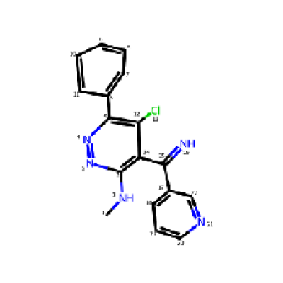 CNc1nnc(-c2ccccc2)c(Cl)c1C(=N)c1cccnc1